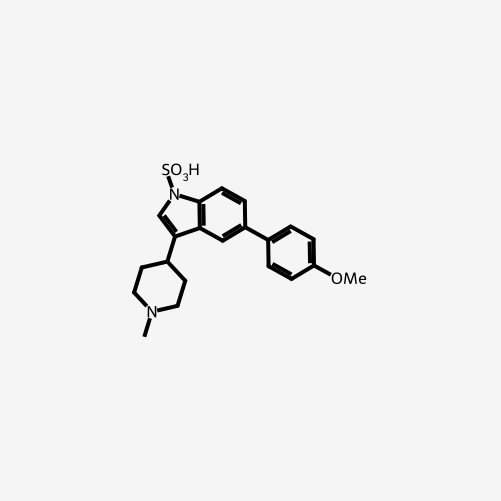 COc1ccc(-c2ccc3c(c2)c(C2CCN(C)CC2)cn3S(=O)(=O)O)cc1